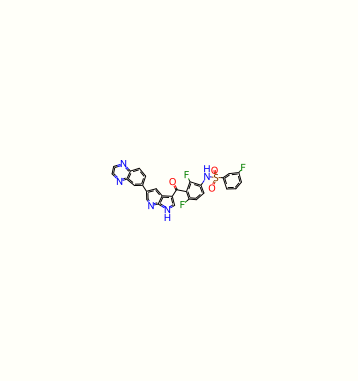 O=C(c1c(F)ccc(NS(=O)(=O)c2cccc(F)c2)c1F)c1c[nH]c2ncc(-c3ccc4nccnc4c3)cc12